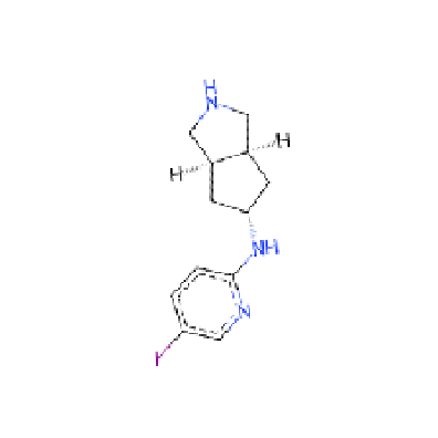 Ic1ccc(N[C@@H]2C[C@H]3CNC[C@H]3C2)nc1